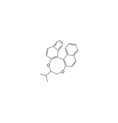 CC(C)C1COc2ccc3ccccc3c2-c2c(ccc3ccccc23)O1